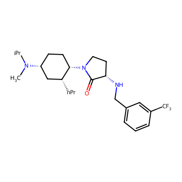 CCC[C@@H]1C[C@H](N(C)C(C)C)CC[C@@H]1N1CC[C@H](NCc2cccc(C(F)(F)F)c2)C1=O